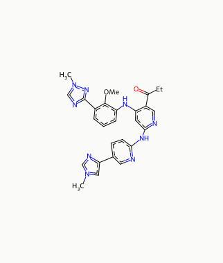 CCC(=O)c1cnc(Nc2ccc(-c3cn(C)cn3)cn2)cc1Nc1cccc(-c2ncn(C)n2)c1OC